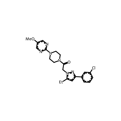 CCc1cc(-c2cccc(Cl)c2)nn1CC(=O)N1CCN(c2ncc(OC)cn2)CC1